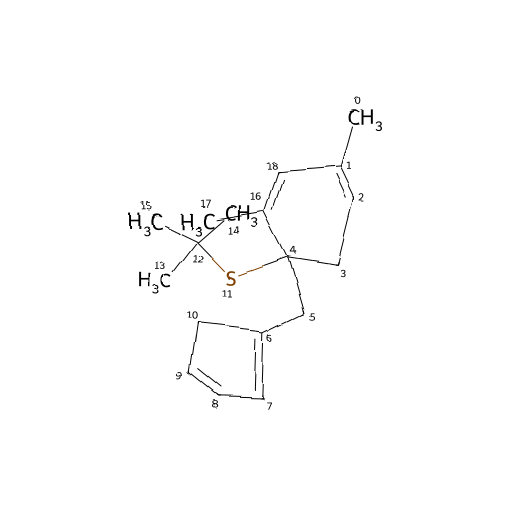 CC1=CCC(CC2=CC=CC2)(SC(C)(C)C)C(C)=C1